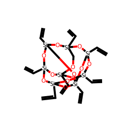 C=C[Si]12CO[Si]3(C=C)O[Si]4(C=C)O[Si](C=C)(O1)O[Si]1(C=C)O[Si](C=C)(O2)O[Si](C=C)(O3)O[Si](C=C)(O4)O1